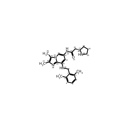 Cc1cccc(C)c1CNc1cc(NC(=O)C[C@H]2CCCN2)cn2c(C)c(C)nc12